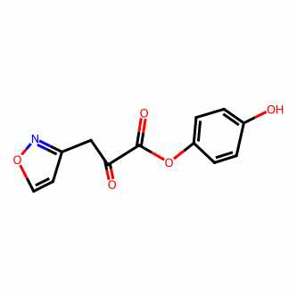 O=C(Cc1ccon1)C(=O)Oc1ccc(O)cc1